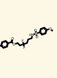 COc1ccc(S(=O)(=O)NCCCC(F)(F)CCOC(=O)c2ccc(F)cc2)cc1